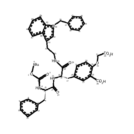 CC(C)(C)OC(=O)N[C@@H](Cc1ccccc1)C(=O)N[C@@H](Cc1ccc(OCC(=O)O)c(C(=O)O)c1)C(=O)NCCc1cn(Cc2ccccc2)c2ccccc12